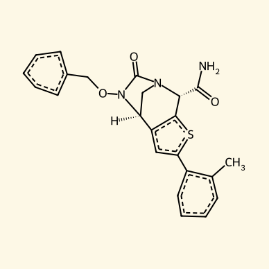 Cc1ccccc1-c1cc2c(s1)[C@@H](C(N)=O)N1C[C@@H]2N(OCc2ccccc2)C1=O